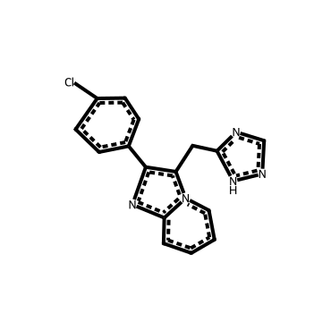 Clc1ccc(-c2nc3ccccn3c2Cc2ncn[nH]2)cc1